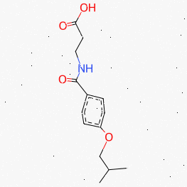 CC(C)COc1ccc(C(=O)NCCC(=O)O)cc1